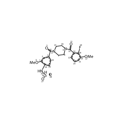 COc1cc(C(=O)N2CCN(C(=O)c3cccc(OC)c3F)CC2)ccc1N[SH](=O)=O